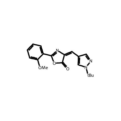 COc1ccccc1C1=NC(=Cc2cnn(C(C)(C)C)c2)C(=O)O1